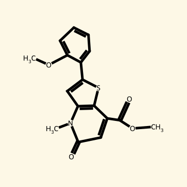 COC(=O)c1cc(=O)n(C)c2cc(-c3ccccc3OC)sc12